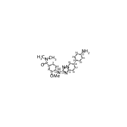 COc1cc(C(=O)N(C)C)ccc1Nc1nc2ccc(-c3ccc(N)cc3)cn2n1